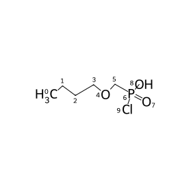 CCCCOCP(=O)(O)Cl